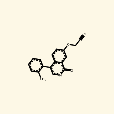 Cc1ccccc1-c1c[nH]c(=O)c2cc(OCC#N)ccc12